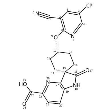 N#Cc1cc(Cl)cnc1O[C@H]1CC[C@]2(CC1)C(=O)Nc1ccc(C(=O)O)nc12